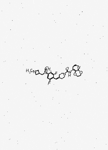 CN1CC(CN(C)c2cc(F)c(C=C3CCN(C(=O)Nc4ccnc5c4OCCO5)CC3)c(F)c2)C1